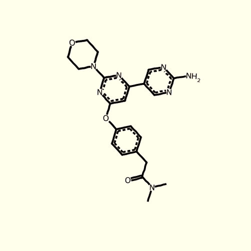 CN(C)C(=O)Cc1ccc(Oc2cc(-c3cnc(N)nc3)nc(N3CCOCC3)n2)cc1